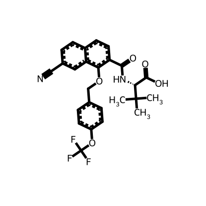 CC(C)(C)[C@H](NC(=O)c1ccc2ccc(C#N)cc2c1OCc1ccc(OC(F)(F)F)cc1)C(=O)O